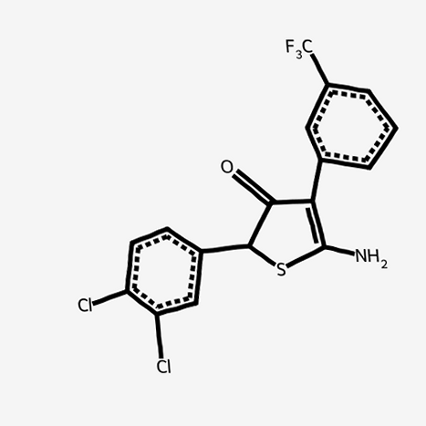 NC1=C(c2cccc(C(F)(F)F)c2)C(=O)C(c2ccc(Cl)c(Cl)c2)S1